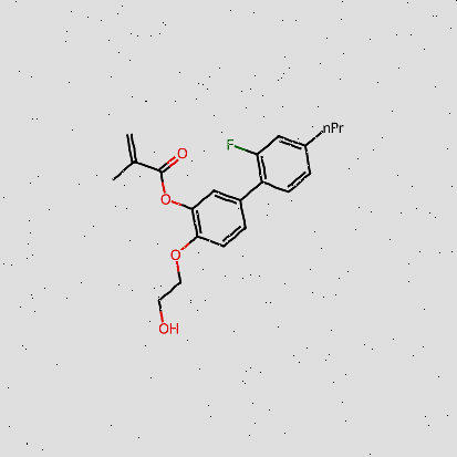 C=C(C)C(=O)Oc1cc(-c2ccc(CCC)cc2F)ccc1OCCO